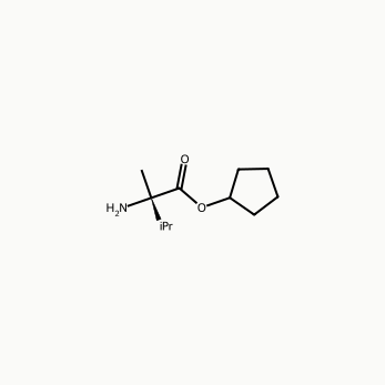 CC(C)[C@](C)(N)C(=O)OC1CCCC1